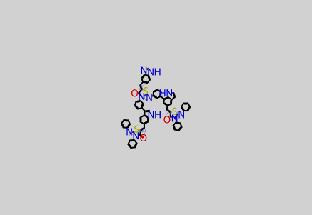 O=C1/C(=C/c2cc(-c3cccc(/N=C4\S/C(=C\c5ccc6[nH]cnc6c5)C(=O)N4c4cccc(-c5c[nH]c6cc(/C=C7\S/C(=N\c8ccccc8)N(c8ccccc8)C7=O)ccc56)c4)c3)c3[nH]ccc3c2)S/C(=N\c2ccccc2)N1c1ccccc1